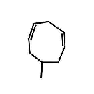 CC1CC=CCC=CC1